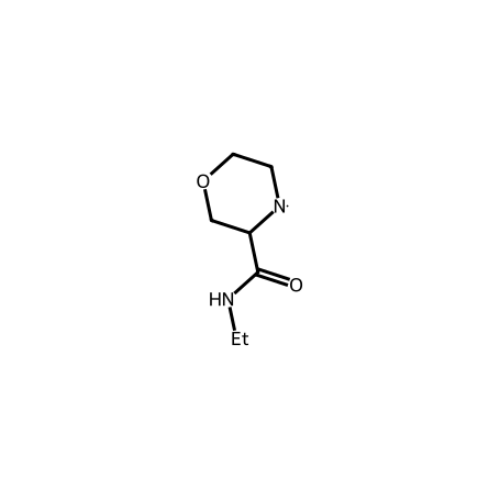 CCNC(=O)C1COCC[N]1